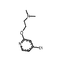 CCc1ccnc(OCCN(C)C)c1